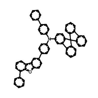 c1ccc(-c2ccc(N(c3ccc(-c4ccc5oc6c(-c7ccccc7)cccc6c5c4)cc3)c3ccc4c(c3)-c3ccccc3C43c4ccccc4-c4ccccc43)cc2)cc1